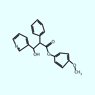 COc1ccc(OC(=O)C(c2ccccc2)C(O)c2cccnc2)cc1